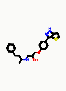 CC(CCc1ccccc1)NCC(O)COc1ccc(-c2n[nH]c3ccsc23)cc1